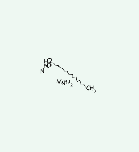 CCCCCCCCCCCCCCCCCC(=O)ONC#N.[MgH2]